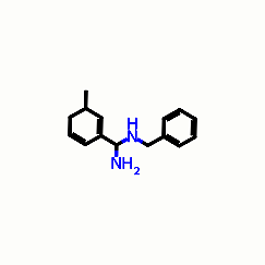 CC1C=C(C(N)NCc2ccccc2)C=CC1